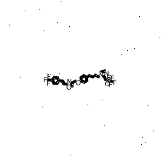 O=S(=O)(Cc1nccn1CCCCc1ccc(OCc2coc(C=Cc3ccc(C(F)(F)F)cc3)n2)cc1)C(F)(F)F